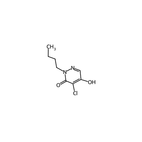 CCCCn1ncc(O)c(Cl)c1=O